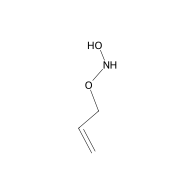 C=CCONO